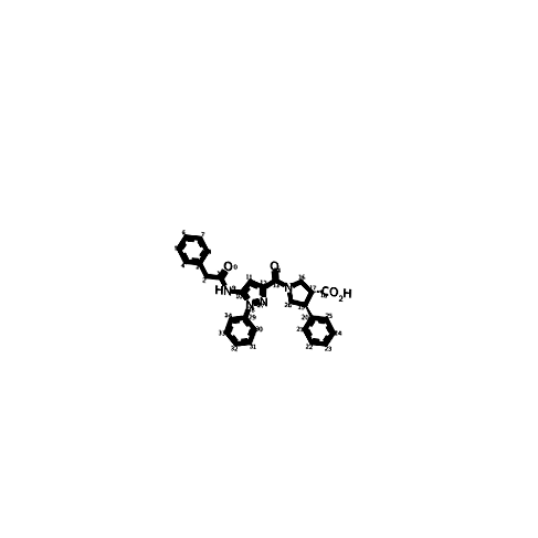 O=C(Cc1ccccc1)Nc1cc(C(=O)N2C[C@H](C(=O)O)[C@@H](c3ccccc3)C2)nn1-c1ccccc1